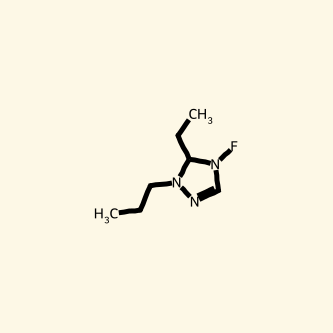 CCCN1N=CN(F)C1CC